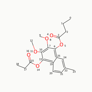 CCCC(=O)Oc1c(OC)c(OC)c(OC(=O)CC)c2ccc(C)cc12